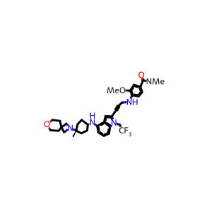 CNC(=O)c1ccc(NCC#Cc2cc3c(N[C@H]4CC[C@@](C)(N5CC6(CCOCC6)C5)CC4)cccc3n2CC(F)(F)F)c(OC)c1